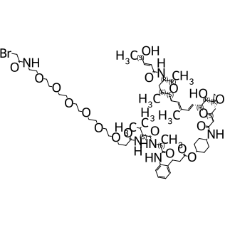 CC(C=C[C@H]1O[C@H](CC(=O)N[C@H]2CC[C@H](OC(=O)CCc3ccccc3NC(=O)[C@H](C)NC(=O)[C@@H](NC(=O)CCOCCOCCOCCOCCOCCOCCNC(=O)CBr)C(C)C)CC2)C[C@@]2(CO2)[C@@H]1O)=CC[C@@H]1O[C@H](C)[C@H](NC(=O)C=C[C@H](C)O)C[C@@H]1C